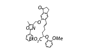 CCOC(=O)C(CC/C=C/c1cc2c(cc1OCc1nc(-c3ccccc3)oc1C)C(=O)CC2)Oc1ccccc1OC